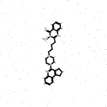 Nn1c(CCCCN2CCN(c3nc4ccccc4c4c3CCC4)CC2)nc2ccccc2c1=O